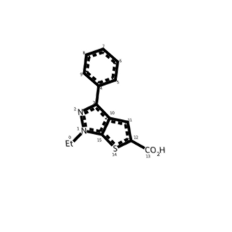 CCn1nc(-c2ccccc2)c2cc(C(=O)O)sc21